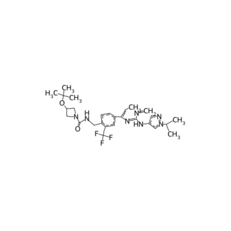 C=N/C(=N\C(=C/C)c1ccc(CNC(=O)N2CC(OC(C)(C)C)C2)c(C(F)(F)F)c1)Nc1cnn(C(C)C)c1